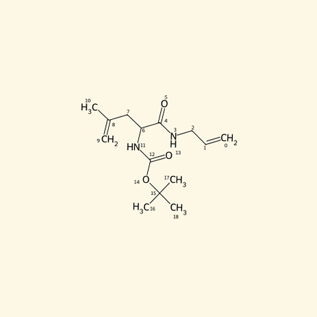 C=CCNC(=O)C(CC(=C)C)NC(=O)OC(C)(C)C